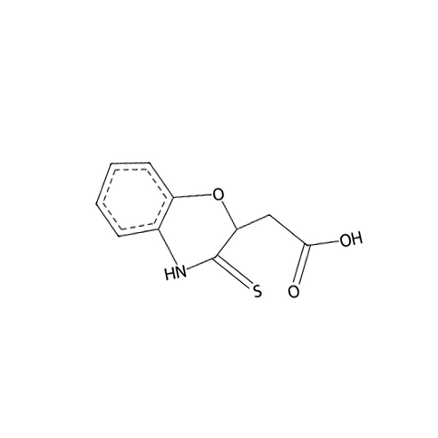 O=C(O)CC1Oc2ccccc2NC1=S